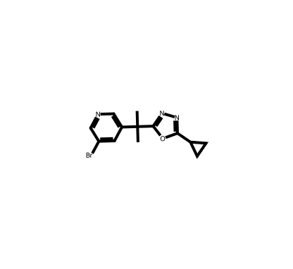 CC(C)(c1cncc(Br)c1)c1nnc(C2CC2)o1